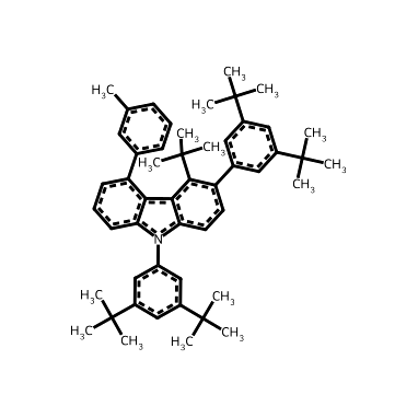 Cc1cccc(-c2cccc3c2c2c(C(C)(C)C)c(-c4cc(C(C)(C)C)cc(C(C)(C)C)c4)ccc2n3-c2cc(C(C)(C)C)cc(C(C)(C)C)c2)c1